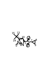 Cn1nc(S(=O)(=O)C2CC2)cc1C(C)(C)C